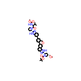 COC[C@H]1C[C@@H](c2nc3ccc4cc5c(cc4c3[nH]2)OCc2cc(-c3ccc4nc([C@@H]6CCCN6C(=O)[C@@H](NC(=O)OC)C(C)C)[nH]c4c3)ccc2-5)N(C(=O)OC(C)(C)C)C1